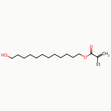 C=C(CC)C(=O)OCCCCCCCCCCCCO